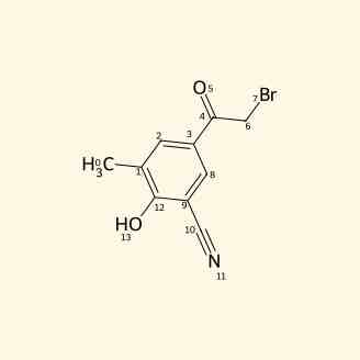 Cc1cc(C(=O)CBr)cc(C#N)c1O